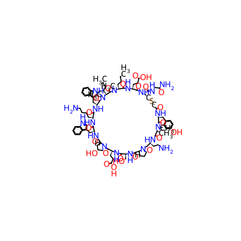 CCCC[C@H]1C(=O)N(C)[C@@H](CCCC)C(=O)N[C@@H](CCC(=O)O)C(=O)N[C@H](C(=O)NCC(N)=O)CSCC(=O)N[C@@H](Cc2ccc(O)cc2)C(=O)N(C)[C@@H](C)C(=O)N[C@@H](CCN)C(=O)N2CCC[C@H]2C(=O)N[C@@H](CO)C(=O)N[C@@H](CCC(=O)O)C(=O)N2C[C@H](O)C[C@H]2C(=O)N[C@@H](Cc2c[nH]c3ccccc23)C(=O)N[C@@H](CCCCN)C(=O)N[C@@H](Cc2c[nH]c3ccccc23)C(=O)N1C